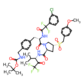 COc1ccc(CS(=O)(=O)[C@@H]2C[C@@H](C(=O)N[C@H](C(=O)C(F)(F)F)C(C)C)N(C(=O)[C@H](Cc3ccc(CNC(=O)OC(C)(C)C)cc3)NC(=O)C(F)(F)c3cccc(Cl)c3)C2)cc1